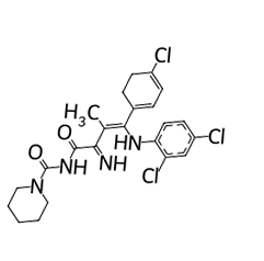 C/C(C(=N)C(=O)NC(=O)N1CCCCC1)=C(/Nc1ccc(Cl)cc1Cl)C1=CC=C(Cl)CC1